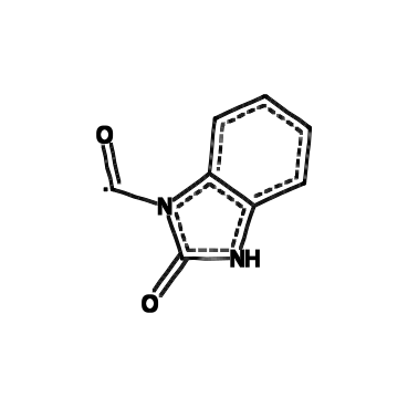 O=[C]n1c(=O)[nH]c2ccccc21